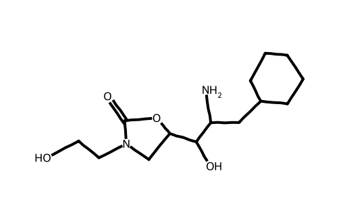 NC(CC1CCCCC1)C(O)C1CN(CCO)C(=O)O1